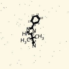 CC(C)(C#N)c1nc(-c2ccccc2)n[nH]1